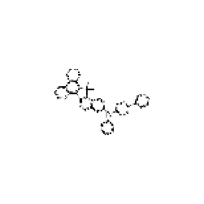 CC1(C)c2c(ccc3cc(N(c4ccccc4)c4ccc(-c5ccccc5)cc4)ccc23)-c2c1c1ccccc1c1ccccc21